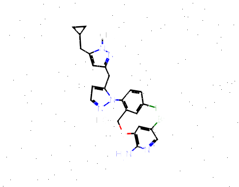 C[C@@H](Oc1cc(Br)cnc1N)c1cc(F)ccc1-n1nccc1Cc1cc(CC2CC2)n(C)n1